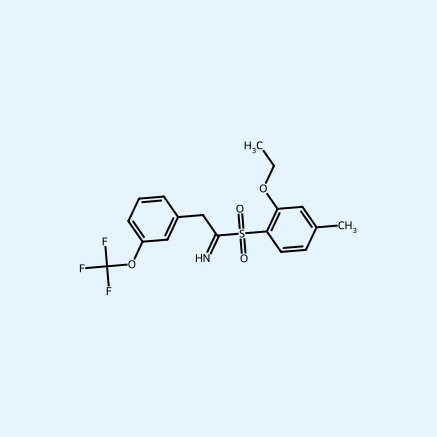 CCOc1cc(C)ccc1S(=O)(=O)C(=N)Cc1cccc(OC(F)(F)F)c1